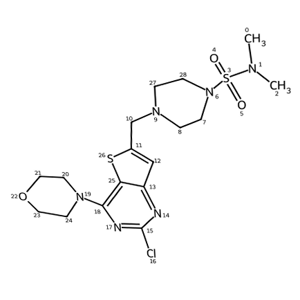 CN(C)S(=O)(=O)N1CCN(Cc2cc3nc(Cl)nc(N4CCOCC4)c3s2)CC1